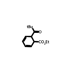 CCOC(=O)C1C=CC=CC1C(=O)C(C)(C)C